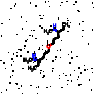 CCC(CCCOCCCC(CC)NC)NC